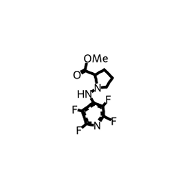 COC(=O)C1CCCN1Nc1c(F)c(F)nc(F)c1F